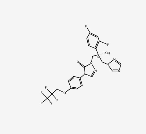 O=c1n(-c2ccc(OCC(F)(F)C(F)(F)F)cc2)cnn1C[C@](O)(Cn1cncn1)c1ccc(F)cc1F